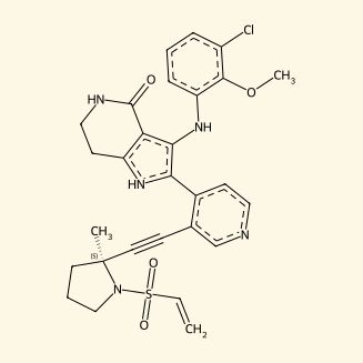 C=CS(=O)(=O)N1CCC[C@@]1(C)C#Cc1cnccc1-c1[nH]c2c(c1Nc1cccc(Cl)c1OC)C(=O)NCC2